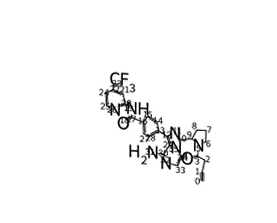 C#CCC(=O)N1CCCC1c1nc(-c2ccc(C(=O)Nc3cc(C(F)(F)F)ccn3)cc2)c2c(N)nccn12